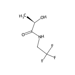 C[C@@H](O)C(=O)NCC(F)(F)F